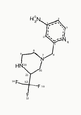 Nc1ccnc(CN2CCNC(C(F)(F)F)C2)c1